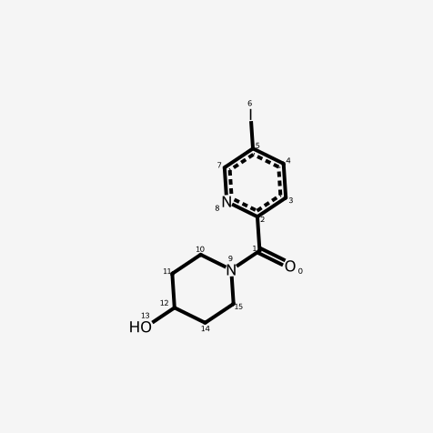 O=C(c1ccc(I)cn1)N1CCC(O)CC1